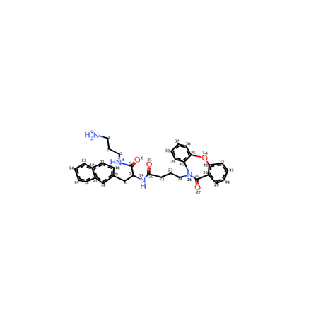 NCCCNC(=O)C(Cc1ccc2ccccc2c1)NC(=O)CCCN1C(=O)c2ccccc2Oc2ccccc21